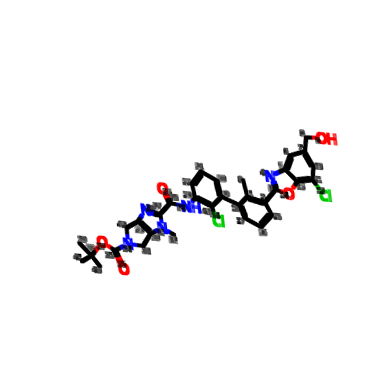 Cc1c(-c2nc3cc(CO)cc(Cl)c3o2)cccc1-c1cccc(NC(=O)c2nc3c(n2C)CN(C(=O)OC(C)(C)C)C3)c1Cl